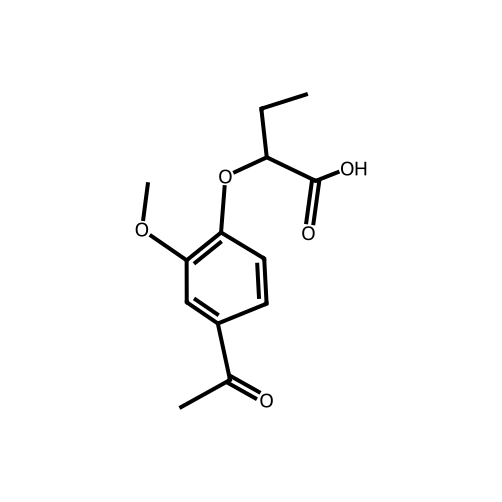 CCC(Oc1ccc(C(C)=O)cc1OC)C(=O)O